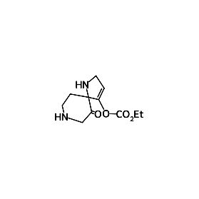 CCOC(=O)OC1=CCNC12CCNCC2=O